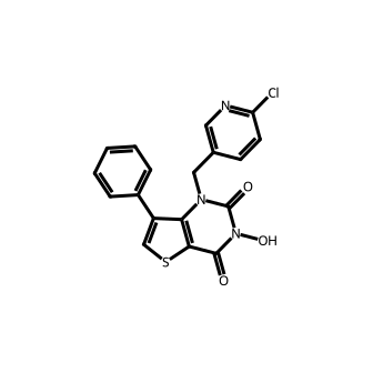 O=c1c2scc(-c3ccccc3)c2n(Cc2ccc(Cl)nc2)c(=O)n1O